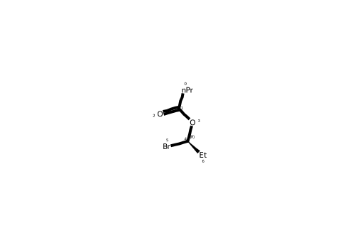 CCCC(=O)O[C@H](Br)CC